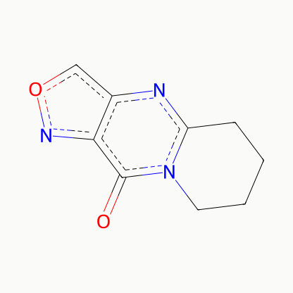 O=c1c2nocc2nc2n1CCCC2